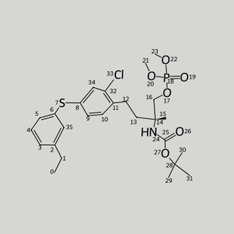 CCc1cccc(Sc2ccc(CC[C@](C)(COP(=O)(OC)OC)NC(=O)OC(C)(C)C)c(Cl)c2)c1